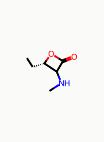 CC[C@@H]1OC(=O)C1NC